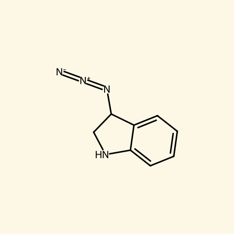 [N-]=[N+]=NC1CNc2ccccc21